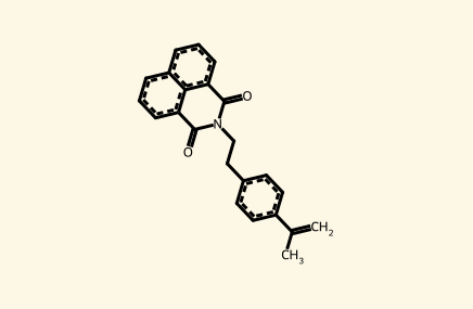 C=C(C)c1ccc(CCN2C(=O)c3cccc4cccc(c34)C2=O)cc1